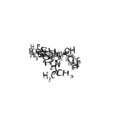 CC(C)c1cc(I)c2c(n1)CC1(CCC([C@@H](O)c3ccc(C(F)(F)F)cc3)C1)C[C@@H]2O[Si](C)(C)C(C)(C)C